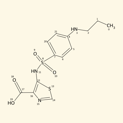 CCCNc1ccc(S(=O)(=O)Nc2scnc2C(=O)O)cc1